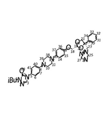 CCC(C)n1ncn(-c2ccc(N3CCN(c4ccc(OC[C@@H]5OC[C@@](Cn6cncn6)(c6ccccc6)O5)cc4)CC3)cc2)c1=O